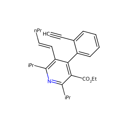 C#Cc1ccccc1-c1c(C=CCCC)c(C(C)C)nc(C(C)C)c1C(=O)OCC